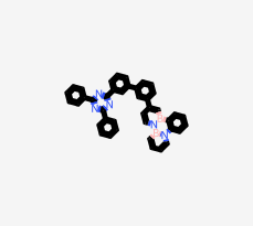 C1=CB2N3C=CC(c4cccc(-c5cccc(-c6nc(-c7ccccc7)nc(-c7ccccc7)n6)c5)c4)=CB3c3ccccc3N2C=C1